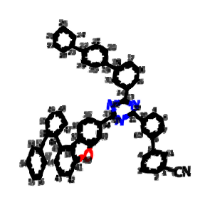 N#Cc1cccc(-c2cccc(-c3nc(-c4cccc(-c5ccc(-c6ccccc6)cc5)c4)nc(-c4ccc5c(c4)oc4cccc(-c6ccccc6-c6ccccc6)c45)n3)c2)c1